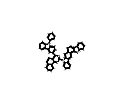 c1ccc(-n2c3ccccc3c3cc(-c4nc(-n5c6ccccc6c6cc7c(ccc8c9ccccc9sc78)cc65)nc5c4ccc4ccccc45)ccc32)cc1